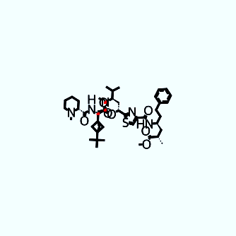 COC(=O)[C@@H](C)C[C@H](CCc1ccccc1)NC(=O)c1csc([C@@H](C[C@H](C(C)C)N(C)C(=O)[C@@H](NC(=O)[C@H]2CCCCN2C)C23CC(C(C)(C)C)(C2)C3)OC(C)=O)n1